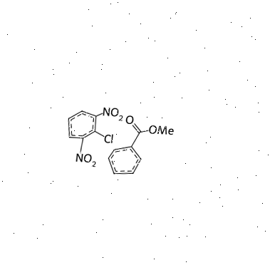 COC(=O)c1ccccc1.O=[N+]([O-])c1cccc([N+](=O)[O-])c1Cl